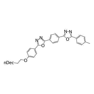 CCCCCCCCCCCCOc1ccc(-c2nnc(-c3ccc(-c4nnc(-c5ccc(C)cc5)o4)cc3)o2)cc1